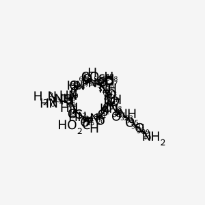 N=C(N)NCCC[C@@H]1NC(=O)CNC(=O)[C@H](CC(=O)O)NC(=O)CSC[C@@H](C(=O)NCC(=O)NCCOCCOCCN)NC(=O)[C@H](Cc2ccccc2)NC(=O)[C@H](CS)NC(=O)[C@H](CC(=O)O)NC(=O)CNC1=O